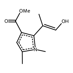 COC(=O)c1cc(C)n(C)c1/C(C)=C/O